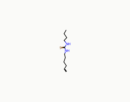 C=CCCCCNC(=S)NCCCC